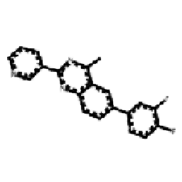 Cc1nc(-c2cccnc2)nc2ccc(-c3ccc(F)c(F)c3)cc12